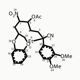 CCC(C#N)(CCC(OC(C)=O)C(CC1COc2ccccc2O1)[N+](=O)[O-])c1ccc(OC)c(OC)c1